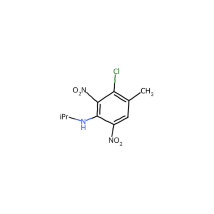 Cc1cc([N+](=O)[O-])c(NC(C)C)c([N+](=O)[O-])c1Cl